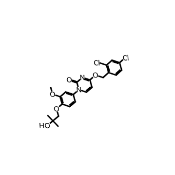 COc1cc(-n2ccc(OCc3ccc(Cl)cc3Cl)nc2=O)ccc1OCC(C)(C)O